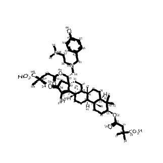 CC(C)C1=C2[C@H]3CC[C@@H]4[C@@]5(C)CC[C@H](OC(=O)CC(C)(C)C(=O)O)C(C)(C)[C@@H]5CC[C@@]4(C)[C@]3(C)CC[C@@]2([C@@H](CN(CCN(C)C)Cc2ccc(Cl)cc2)OC(=O)CC(C)(C)C(=O)O)CC1=O